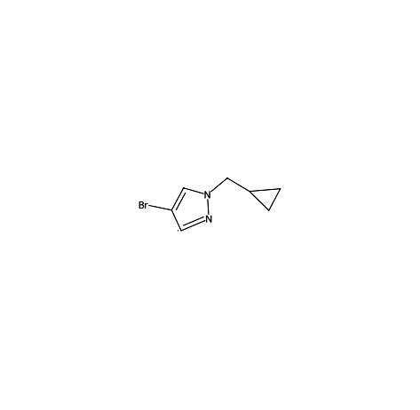 Brc1[c]nn(CC2CC2)c1